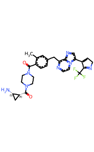 Cc1cc(Cc2nccn3c(C4=CCN=C4C(F)(F)F)cnc23)ccc1C(=O)N1CCN(C(=O)[C@@H]2C[C@@H]2N)CC1